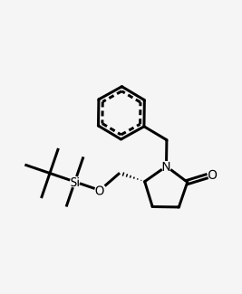 CC(C)(C)[Si](C)(C)OC[C@H]1CCC(=O)N1Cc1ccccc1